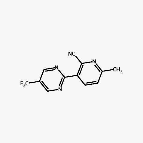 Cc1ccc(-c2ncc(C(F)(F)F)cn2)c(C#N)n1